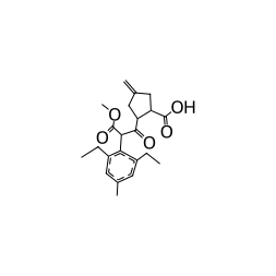 C=C1CC(C(=O)O)C(C(=O)C(C(=O)OC)c2c(CC)cc(C)cc2CC)C1